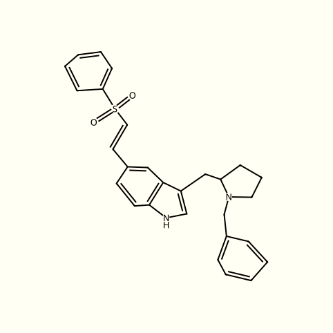 O=S(=O)(C=Cc1ccc2[nH]cc(CC3CCCN3Cc3ccccc3)c2c1)c1ccccc1